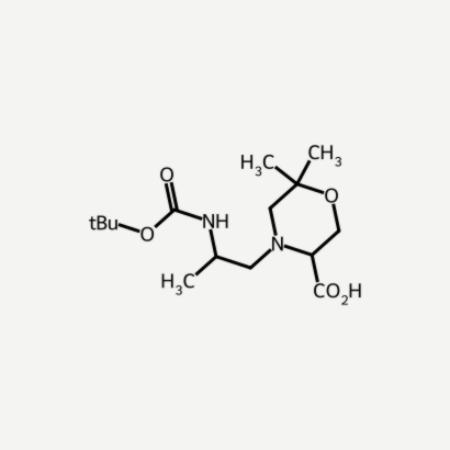 CC(CN1CC(C)(C)OCC1C(=O)O)NC(=O)OC(C)(C)C